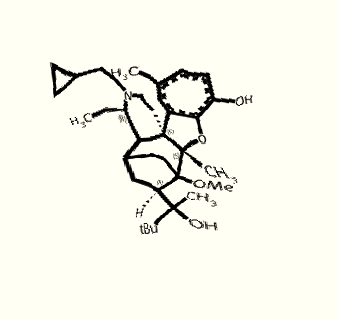 COC12CCC(C[C@@H]1C(C)(O)C(C)(C)C)C1[C@@H](C)N(CC3CC3)CC[C@@]13c1c(C)ccc(O)c1O[C@]23C